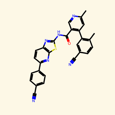 Cc1cc(-c2cc(C#N)ccc2C)c(C(=O)Nc2nc3ccc(-c4ccc(C#N)cc4)nc3s2)cn1